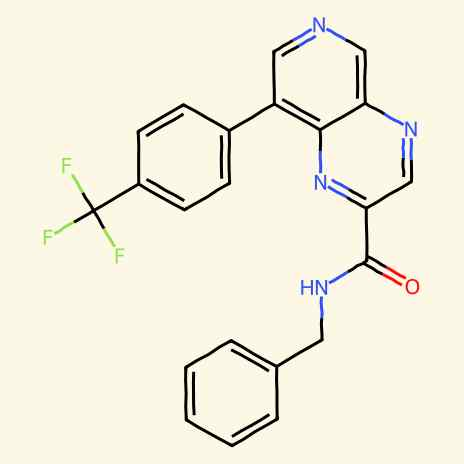 O=C(NCc1ccccc1)c1cnc2cncc(-c3ccc(C(F)(F)F)cc3)c2n1